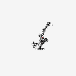 Cc1c(CN(C(=O)C2=C(c3ccc(CCCOc4c(F)ccc(F)c4Cl)cc3)CC3CS(=O)(=O)CC2N3C(=O)OCCCCON(O)O)C2CC2)ccnc1OCCCOC(=O)OCCCCON(O)O